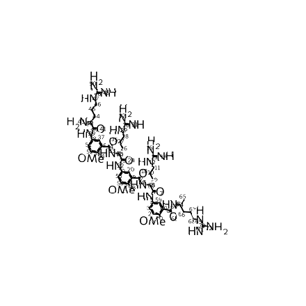 COc1ccc(NC(=O)[C@@H](CCCNC(=N)N)NC(=O)c2cc(NC(=O)[C@@H](CCCNC(=N)N)NC(=O)c3cc(NC(=O)[C@H](N)CCCNC(=N)N)ccc3OC)ccc2OC)cc1C(=O)N[C@@H](C)CCCNC(=N)N